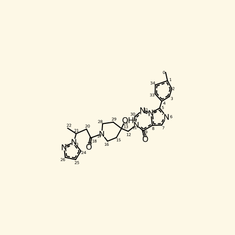 Cc1ccc(-c2ncc3c(=O)n(CC4(O)CCN(C(=O)CC(C)n5cccn5)CC4)cnn23)cc1